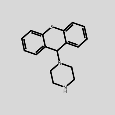 c1ccc2c(c1)Sc1ccccc1C2N1CCNCC1